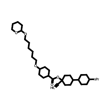 C#CC1(OC(=O)C2CCC(OCCCCCCOC3CCCCO3)CC2)CCC(C2CCC(CCC)CC2)CC1